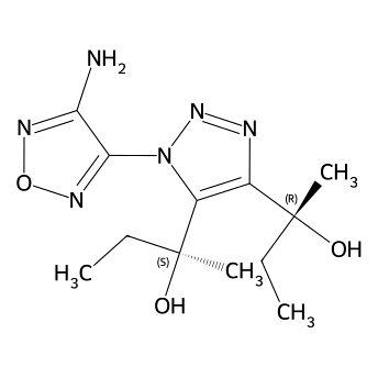 CC[C@](C)(O)c1c([C@](C)(O)CC)nnn1-c1nonc1N